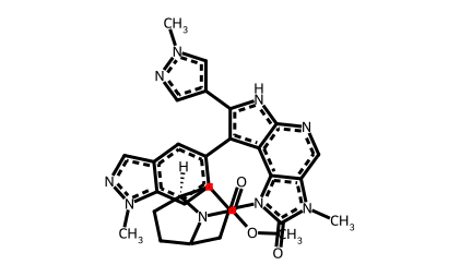 COC(=O)N1C2CC[C@H]1CC(n1c(=O)n(C)c3cnc4[nH]c(-c5cnn(C)c5)c(-c5ccc6c(cnn6C)c5)c4c31)C2